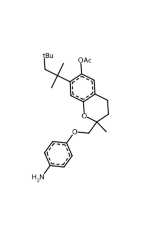 CC(=O)Oc1cc2c(cc1C(C)(C)CC(C)(C)C)OC(C)(COc1ccc(N)cc1)CC2